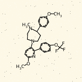 COc1ccc(C2CCN(c3ccc(OC)nc3-c3ccc(OC(F)(F)F)cc3)CCN2C)cc1